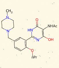 CCCOc1ccc(CN2CCN(C)CC2)cc1-c1nc(O)c(NC(C)=O)c(=O)[nH]1